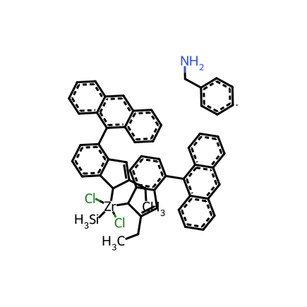 CCC1=Cc2c(-c3c4ccccc4cc4ccccc34)cccc2[CH]1[Zr]([SiH3])([Cl])([Cl])[CH]1C(CC)=Cc2c(-c3c4ccccc4cc4ccccc34)cccc21.NCc1cc[c]cc1